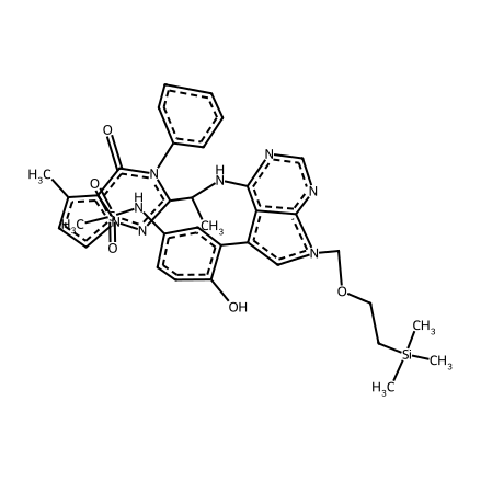 Cc1ccn2nc(C(C)Nc3ncnc4c3c(-c3cc(NS(C)(=O)=O)ccc3O)cn4COCC[Si](C)(C)C)n(-c3ccccc3)c(=O)c12